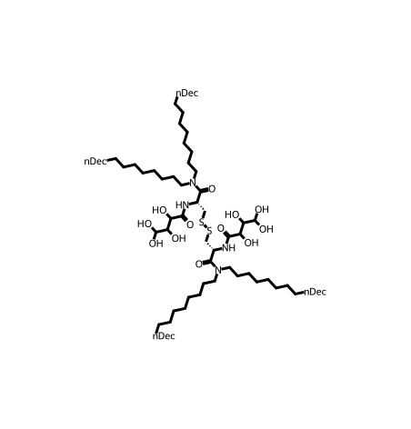 CCCCCCCCCCCCCCCCCCN(CCCCCCCCCCCCCCCCCC)C(=O)[C@H](CSSC[C@H](NC(=O)C(O)C(O)C(O)O)C(=O)N(CCCCCCCCCCCCCCCCCC)CCCCCCCCCCCCCCCCCC)NC(=O)C(O)C(O)C(O)O